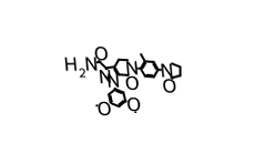 COc1cc(OC)cc(-n2nc(C(N)=O)c3c2C(=O)N(c2ccc(N4CCCC4=O)cc2C)CC3)c1